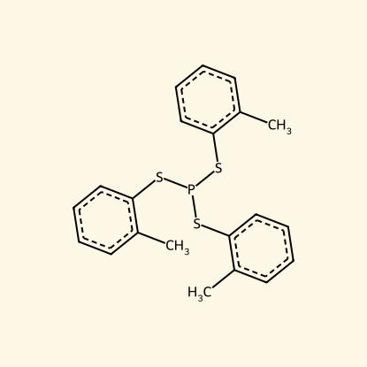 Cc1ccccc1SP(Sc1ccccc1C)Sc1ccccc1C